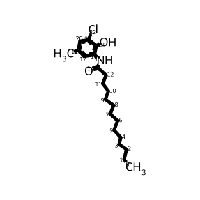 CCCCCCCCCCCCCC(=O)Nc1cc(C)cc(Cl)c1O